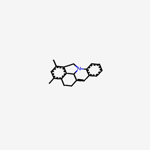 Cc1cc(C)c2c3c1CCC1=Cc4ccccc4N(C2)C13